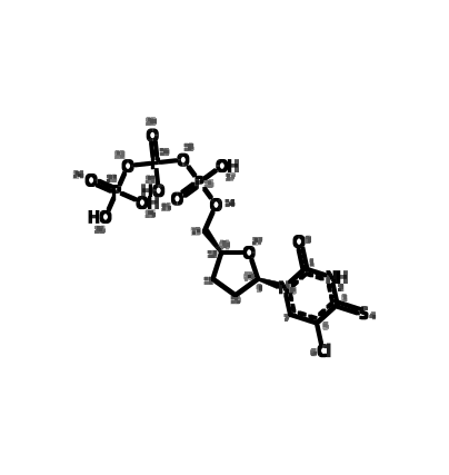 O=c1[nH]c(=S)c(Cl)cn1[C@H]1CC[C@@H](COP(=O)(O)OP(=O)(O)OP(=O)(O)O)O1